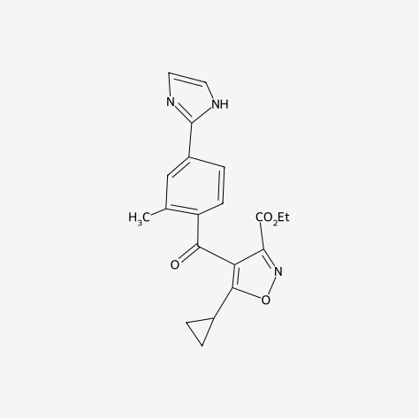 CCOC(=O)c1noc(C2CC2)c1C(=O)c1ccc(-c2ncc[nH]2)cc1C